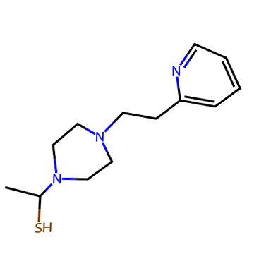 CC(S)N1CCN(CCc2ccccn2)CC1